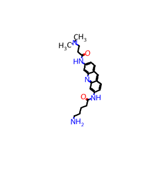 CN(C)CCC(=O)Nc1ccc2cc3ccc(NC(=O)CCCCN)cc3nc2c1